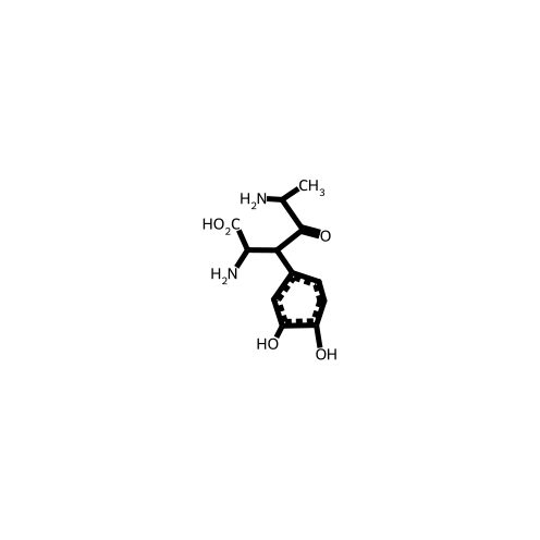 CC(N)C(=O)C(c1ccc(O)c(O)c1)C(N)C(=O)O